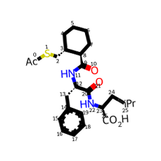 CC(=O)SC[C@@H]1CCCC[C@H]1C(=O)N[C@@H](Cc1ccccc1)C(=O)N[C@@H](CC(C)C)C(=O)O